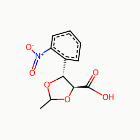 CC1O[C@H](C(=O)O)[C@@H](c2ccccc2[N+](=O)[O-])O1